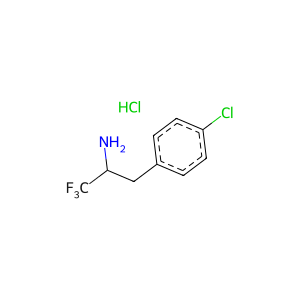 Cl.NC(Cc1ccc(Cl)cc1)C(F)(F)F